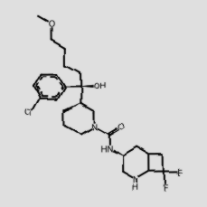 COCCCC[C@@](O)(c1cccc(Cl)c1)[C@@H]1CCCN(C(=O)N[C@@H]2CNC3C(C2)CC3(F)F)C1